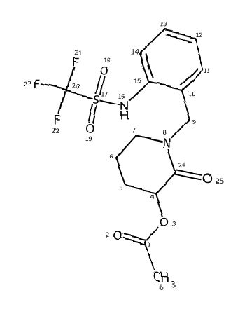 CC(=O)OC1CCCN(Cc2ccccc2NS(=O)(=O)C(F)(F)F)C1=O